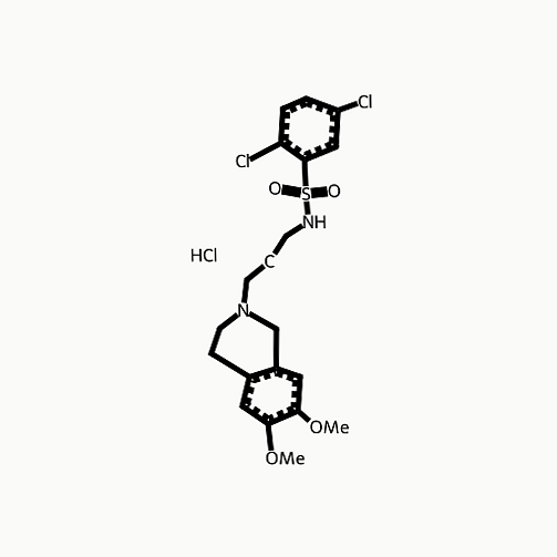 COc1cc2c(cc1OC)CN(CCCNS(=O)(=O)c1cc(Cl)ccc1Cl)CC2.Cl